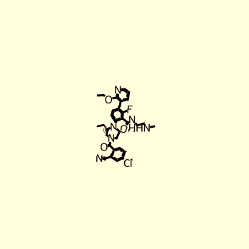 CCOc1ncccc1-c1ccc(N2CCN(C(=O)c3ccc(Cl)cc3C#N)C[C@H]2CC)c(C(=O)NCCNC)c1F